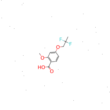 COc1cc(OCC(C)(F)F)ccc1C(=O)O